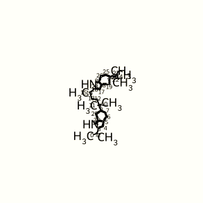 CC(C)c1cc2ccc(C(C)(C)CCC(C)c3cc4cc(C(C)(C)C)ccc4[nH]3)cc2[nH]1